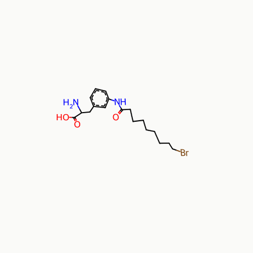 NC(Cc1cccc(NC(=O)CCCCCCCCBr)c1)C(=O)O